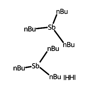 CCC[CH2][Sb]([CH2]CCC)[CH2]CCC.CCC[CH2][Sb]([CH2]CCC)[CH2]CCC.I.I